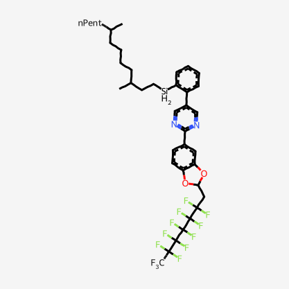 CCCCCC(C)CCCCC(C)CC[SiH2]c1ccccc1-c1cnc(-c2ccc3c(c2)OC(CC(F)(F)C(F)(F)C(F)(F)C(F)(F)C(F)(F)C(F)(F)F)O3)nc1